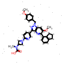 COc1ccc(Cn2nc(-c3ccc(N4CC(N(C)C(=O)O)C4)nc3)c3nc(-c4cccc5c4CCC5)c(OC)cc32)cc1